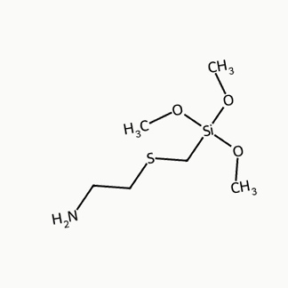 CO[Si](CSCCN)(OC)OC